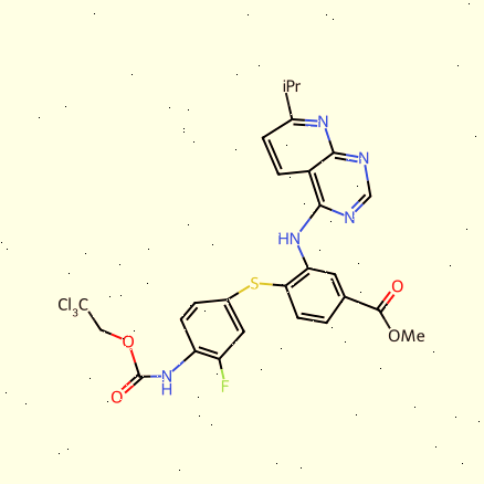 COC(=O)c1ccc(Sc2ccc(NC(=O)OCC(Cl)(Cl)Cl)c(F)c2)c(Nc2ncnc3nc(C(C)C)ccc23)c1